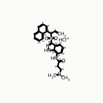 C=CC(c1cccc2ccccc12)S(=O)(=O)c1n[nH]c2c(NC(=O)CCN(C)C)cccc12.Cl